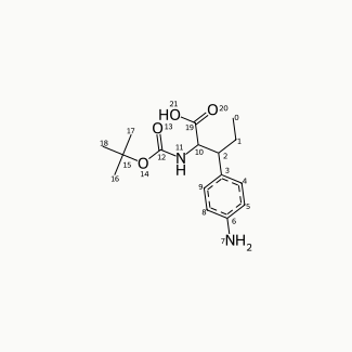 CCC(c1ccc(N)cc1)C(NC(=O)OC(C)(C)C)C(=O)O